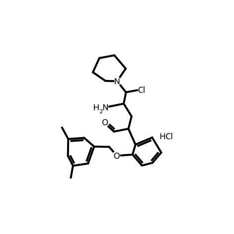 Cc1cc(C)cc(COc2ccccc2C(C=O)CC(N)C(Cl)N2CCCCC2)c1.Cl